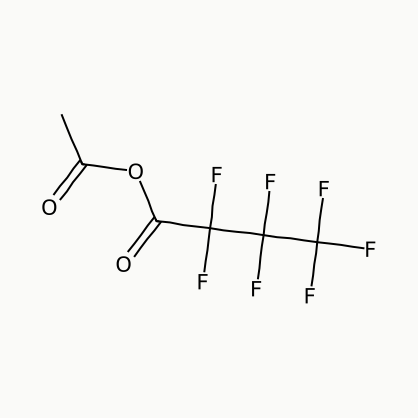 CC(=O)OC(=O)C(F)(F)C(F)(F)C(F)(F)F